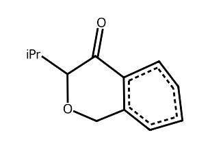 CC(C)C1OCc2ccccc2C1=O